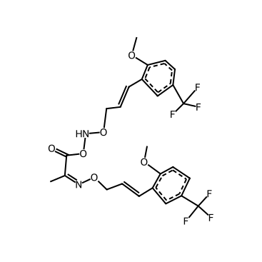 COc1ccc(C(F)(F)F)cc1/C=C/CON=C(C)C(=O)ONOC/C=C/c1cc(C(F)(F)F)ccc1OC